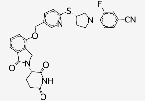 N#Cc1ccc(N2CC[C@H](Sc3ccc(COc4cccc5c4CN([C@H]4CCC(=O)NC4=O)C5=O)cn3)C2)c(F)c1